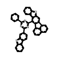 c1ccc(-c2nc(-c3ccc4c(c3)sc3ccccc34)nc(-c3c4c(cc5oc6ccccc6c35)-c3cccc5cccc-4c35)n2)cc1